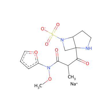 CON(C(=O)C(C)C(=O)C12CN(S(=O)(=O)[O-])C1CCN2)c1ccco1.[Na+]